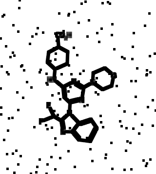 O=C(O)C1CCC(Nc2cc(-n3c(C(F)F)nc4ccccc43)nc(N3CCOCC3)n2)CC1